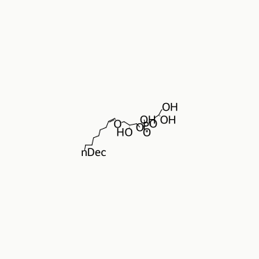 CCCCCCCCCCCCCCCC/C=C\OC[C@@H](O)COP(=O)(O)OC[C@@H](O)CO